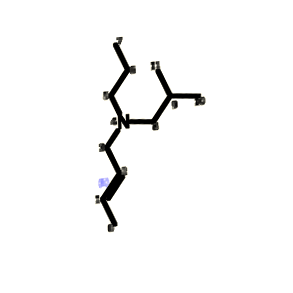 C/C=C/CN(CCC)CC(C)C